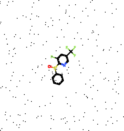 [O-][S+](c1ccccc1)c1ncc(C(F)(F)F)cc1F